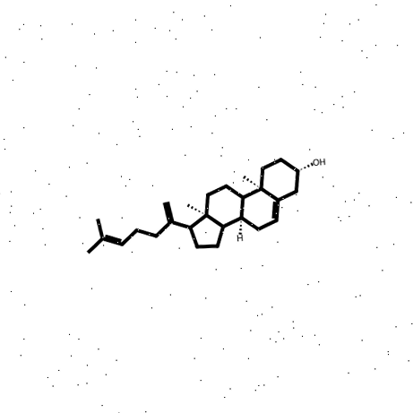 C=C(CCC=C(C)C)C1CCC2[C@@H]3CC=C4C[C@@H](O)CC[C@]4(C)C3CC[C@]12C